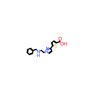 O=C(O)c1ccc(-c2ccn(CCNCc3ccccc3)n2)s1